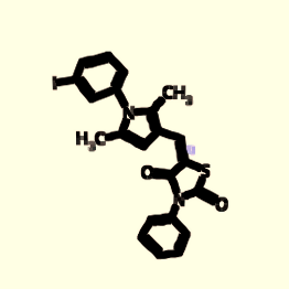 Cc1cc(/C=C2/SC(=O)N(c3ccccc3)C2=O)c(C)n1-c1cccc(I)c1